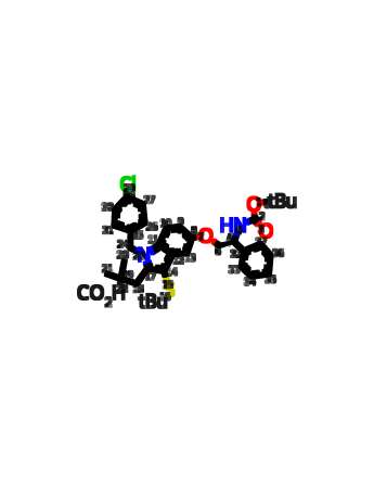 CC(C)(C)OC(=O)N[C@H](COc1ccc2c(c1)c(SC(C)(C)C)c(CC(C)(C)C(=O)O)n2Cc1ccc(Cl)cc1)c1ccccc1